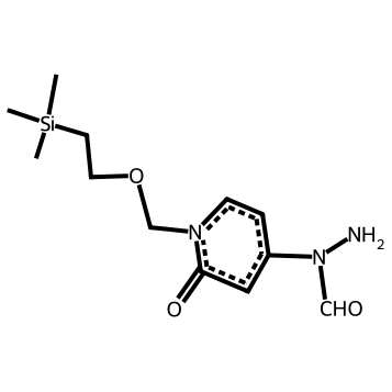 C[Si](C)(C)CCOCn1ccc(N(N)C=O)cc1=O